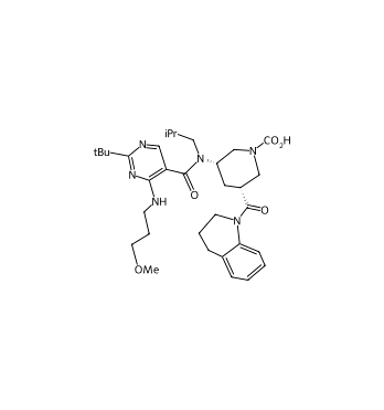 COCCCNc1nc(C(C)(C)C)ncc1C(=O)N(CC(C)C)[C@H]1C[C@@H](C(=O)N2CCCc3ccccc32)CN(C(=O)O)C1